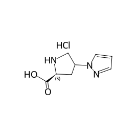 Cl.O=C(O)[C@@H]1CC(n2cccn2)CN1